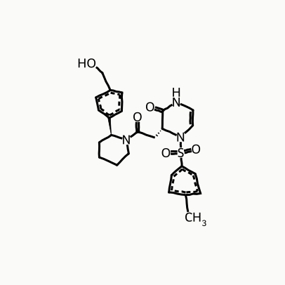 Cc1ccc(S(=O)(=O)N2C=CNC(=O)[C@H]2CC(=O)N2CCCC[C@H]2c2ccc(CO)cc2)cc1